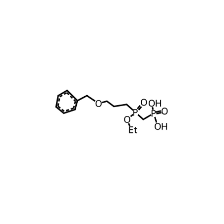 CCOP(=O)(CCCOCc1ccccc1)CP(=O)(O)O